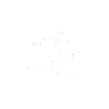 CCCC(CCC)C(=O)OC(CC(=O)[O-])C[N+](C)(C)C.Cl